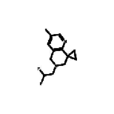 Cc1cnc2c(c1)CN(CC(F)F)CC21CC1